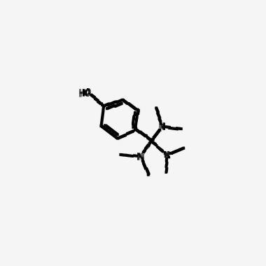 CN(C)C(c1ccc(O)cc1)(N(C)C)N(C)C